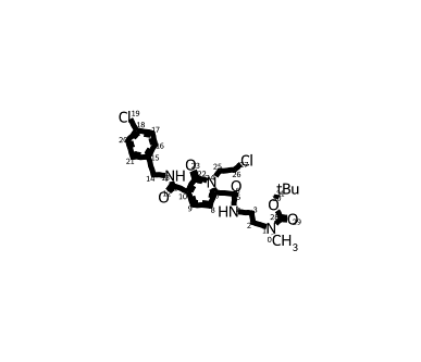 CN(CCNC(=O)c1ccc(C(=O)NCc2ccc(Cl)cc2)c(=O)n1CCCl)C(=O)OC(C)(C)C